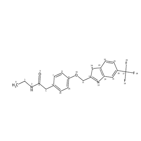 CCNC(=O)Cc1ccc(OCc2nc3cc(C(F)(F)F)ccc3s2)cc1